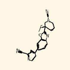 N#Cc1cc(-c2ccc3nc(C4(F)CCCN(C#N)C4)oc3c2)ccn1